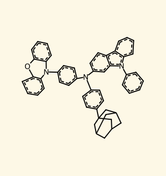 c1ccc(-n2c3ccccc3c3ccc(N(c4ccc(N5c6ccccc6Oc6ccccc65)cc4)c4ccc(C56CC7CC(CC(C7)C5)C6)cc4)cc32)cc1